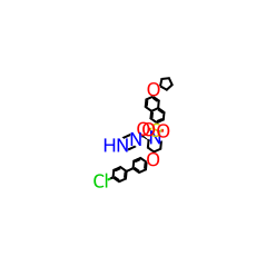 O=C([C@@H]1C[C@@H](Oc2ccc(-c3ccc(Cl)cc3)cc2)CCN1S(=O)(=O)c1ccc2cc(OC3CCCC3)ccc2c1)N1CCNCC1